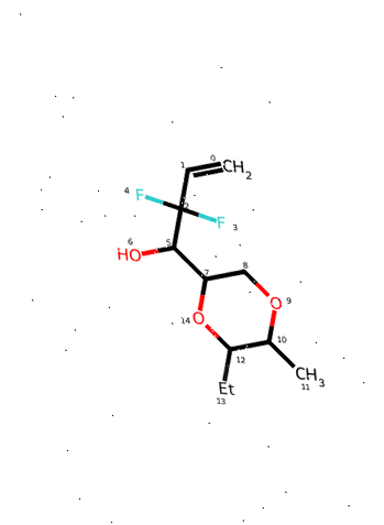 C=CC(F)(F)C(O)C1COC(C)C(CC)O1